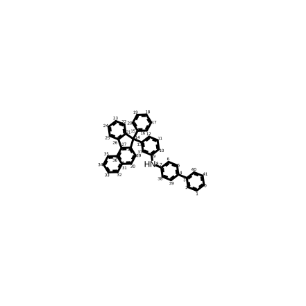 c1ccc(-c2ccc(Nc3cccc(C4(c5ccccc5)c5ccccc5-c5c4ccc4ccccc54)c3)cc2)cc1